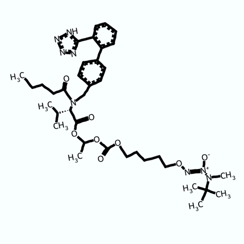 CCCCC(=O)N(Cc1ccc(-c2ccccc2-c2nnn[nH]2)cc1)[C@H](C(=O)OC(C)OC(=O)OCCCCCO/N=[N+](\[O-])N(C)C(C)(C)C)C(C)C